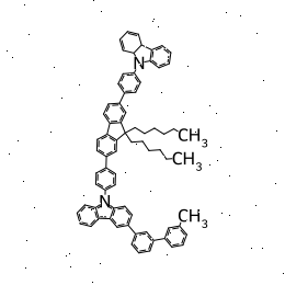 CCCCCCC1(CCCCCC)c2cc(-c3ccc(N4c5ccccc5C5C=CC=CC54)cc3)ccc2-c2ccc(-c3ccc(-n4c5ccccc5c5cc(-c6cccc(-c7cccc(C)c7)c6)ccc54)cc3)cc21